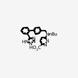 CCCCN(Cc1ccc(-c2ccccc2-c2nnn[nH]2)cc1)c1ccc(C(=O)O)nn1